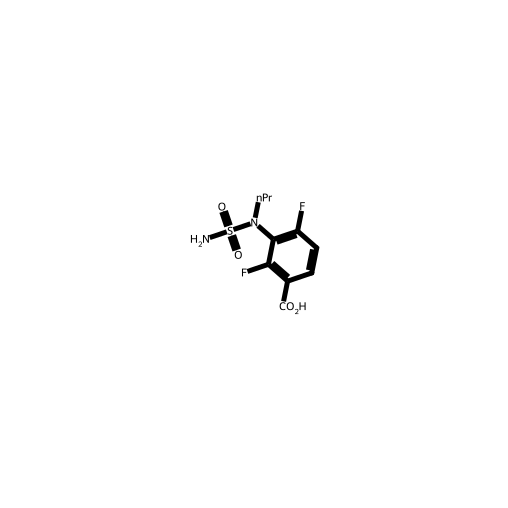 CCCN(c1c(F)ccc(C(=O)O)c1F)S(N)(=O)=O